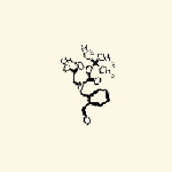 COC(=O)CN(Cc1ccccc1C=O)C(=O)OC(C)(C)C